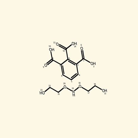 O=C(O)c1cccc(C(=O)O)c1C(=O)O.OCCONOCCO